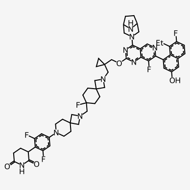 CCc1c(F)ccc2cc(O)cc(-c3ncc4c(N5CC6CCC(C5)N6)nc(OCC5(CN6CC7(CCC(F)(CN8CC9(CCN(c%10cc(F)c(C%11CCC(=O)NC%11=O)c(F)c%10)CC9)C8)CC7)C6)CC5)nc4c3F)c12